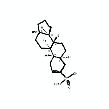 C[C@@]12CCC[C@H]1[C@@H]1CC[C@H]3CC(P(=O)(O)O)=CC[C@@H]3[C@H]1CC2